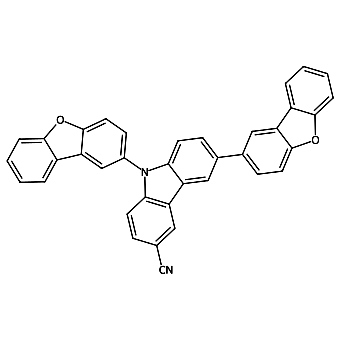 N#Cc1ccc2c(c1)c1cc(-c3ccc4oc5ccccc5c4c3)ccc1n2-c1ccc2oc3ccccc3c2c1